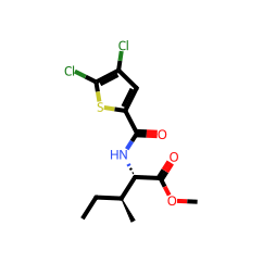 CC[C@H](C)[C@H](NC(=O)c1cc(Cl)c(Cl)s1)C(=O)OC